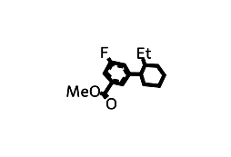 CCC1CCCCC1c1cc(F)cc(C(=O)OC)c1